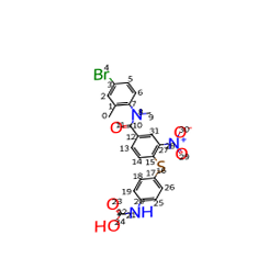 Cc1cc(Br)ccc1N(C)C(=O)c1ccc(Sc2ccc(NC(=O)O)cc2)c([N+](=O)[O-])c1